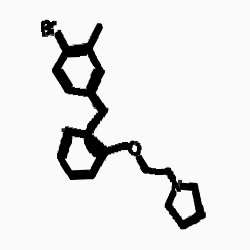 Cc1cc(Cc2[c]cccc2OCCN2CCCC2)ccc1Br